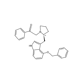 O=C(CN1CCC[C@H]1Cc1c[nH]c2cccc(OCc3ccccc3)c12)c1ccccc1